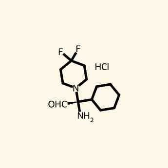 Cl.N[C@@](C=O)(C1CCCCC1)N1CCC(F)(F)CC1